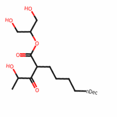 CCCCCCCCCCCCCCC(C(=O)OC(CO)CO)C(=O)C(C)O